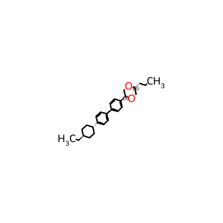 CCC[C@@H]1CO[C@@H](c2ccc(-c3ccc([C@H]4CC[C@H](CC)CC4)cc3)cc2)CO1